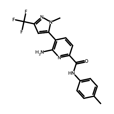 Cc1ccc(NC(=O)c2ccc(-c3cc(C(F)(F)F)nn3C)c(N)n2)cc1